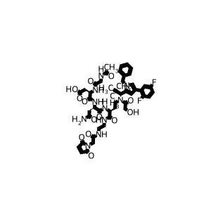 CC(=O)NCC(=O)N[C@H](CC(=O)O)C(=O)N[C@@H](CC(N)=O)C(=O)N[C@@H](CCN(C(=O)CO)[C@@H](c1cc(-c2cc(F)ccc2F)cn1Cc1ccccc1)C(C)(C)C)C(=O)NCCNC(=O)CN1C(=O)C=CC1=O